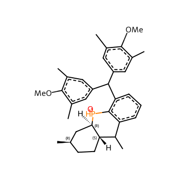 COc1c(C)cc(C(c2cc(C)c(OC)c(C)c2)c2cccc3c2[PH](=O)[C@@H]2C[C@H](C)CC[C@H]2C3C)cc1C